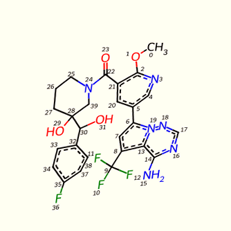 COc1ncc(-c2cc(C(F)(F)F)c3c(N)ncnn23)cc1C(=O)N1CCCC(O)(C(O)c2ccc(F)cc2)C1